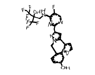 Oc1ccc(Cn2nc(-c3ncc(F)c(NCC(O)(C(F)(F)F)C(F)(F)F)n3)cc2-c2ccon2)c(F)c1